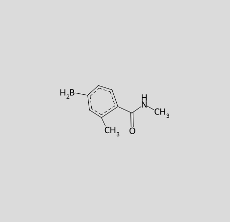 Bc1ccc(C(=O)NC)c(C)c1